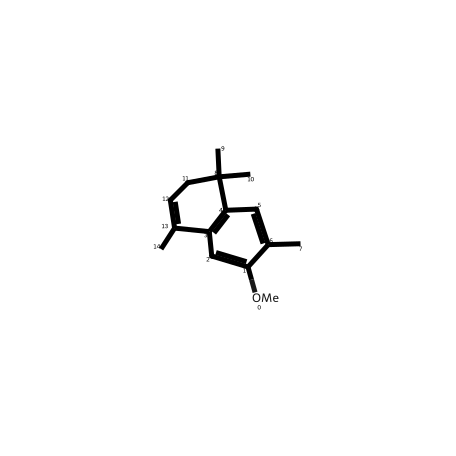 COc1cc2c(cc1C)C(C)(C)CC=C2C